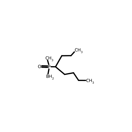 BP(C)(=O)C(CCC)CCCC